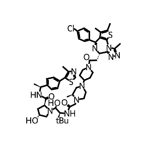 Cc1ncsc1-c1ccc([C@H](C)NC(=O)[C@@H]2C[C@@H](O)CN2C(O)[C@@H](NC(=O)CN2CCN(C3CCN(C(=O)C[C@@H]4N=C(c5ccc(Cl)cc5)c5c(sc(C)c5C)-n5c(C)nnc54)CC3)C[C@@H]2C)C(C)(C)C)cc1